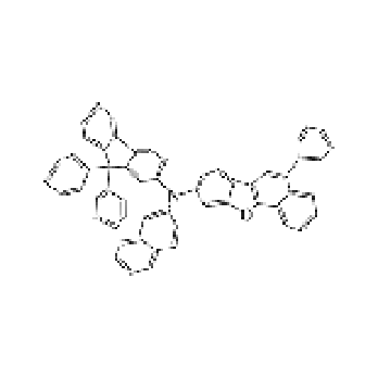 c1ccc(-c2cc3c4ccc(N(c5ccc6c(c5)C(c5ccccc5)(c5ccccc5)c5ccccc5-6)c5ccc6ccccc6c5)cc4oc3c3ccccc23)cc1